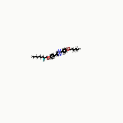 CCCCCCCC(F)COc1ccc(-c2cnc(-c3ccc(OCCCCCC)cc3)nc2)cc1